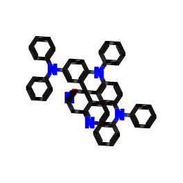 c1ccc(N(c2ccccc2)c2ccc3c(c2)C2(c4cc(N(c5ccccc5)c5ccccc5)ccc4N3c3ccccc3)c3cccnc3Cc3ncccc32)cc1